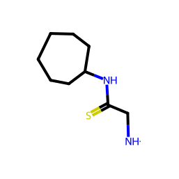 [NH]CC(=S)NC1CCCCCC1